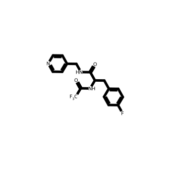 O=C(NCc1ccncc1)C(Cc1ccc(F)cc1)NC(=O)C(F)(F)F